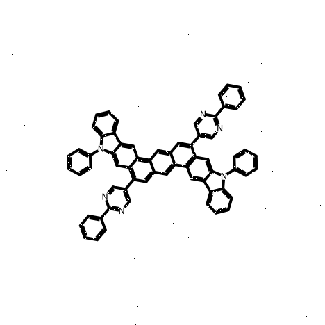 c1ccc(-c2ncc(-c3cc4cc5c(cc(-c6cnc(-c7ccccc7)nc6)c6cc7c(cc65)c5ccccc5n7-c5ccccc5)cc4c4cc5c6ccccc6n(-c6ccccc6)c5cc34)cn2)cc1